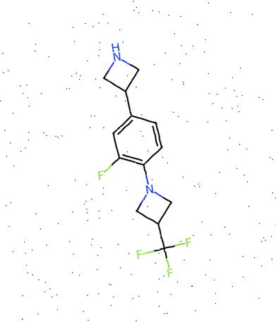 Fc1cc(C2CNC2)ccc1N1CC(C(F)(F)F)C1